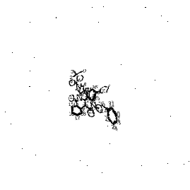 CC(C)(C)OC(=O)N1CC[C@H](N2C(=O)c3ccccc3C(C(=O)NOCc3ccccc3)C2c2ccc(Cl)cc2Cl)C1